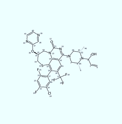 C=CC(O)N1[C@H](C)CN(c2nc(=O)n3c4c(c(-c5cc(Cl)c(F)cc5F)c(C(F)(F)F)cc24)SC[C@@H](Oc2cnccn2)C3)C[C@@H]1C